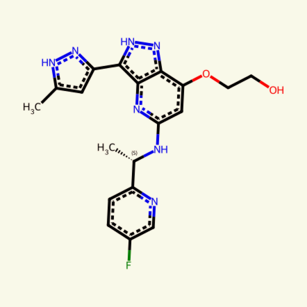 Cc1cc(-c2[nH]nc3c(OCCO)cc(N[C@@H](C)c4ccc(F)cn4)nc23)n[nH]1